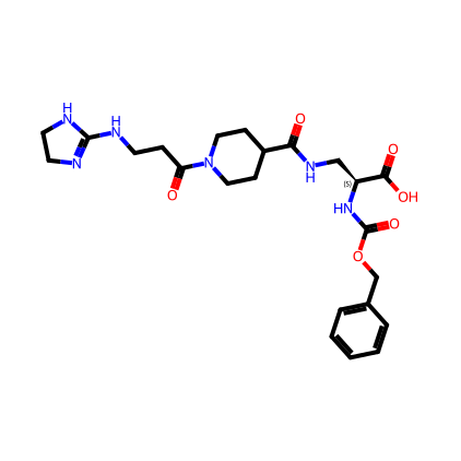 O=C(N[C@@H](CNC(=O)C1CCN(C(=O)CCNC2=NCCN2)CC1)C(=O)O)OCc1ccccc1